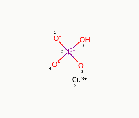 [Cu+3].[O-][I+3]([O-])([O-])O